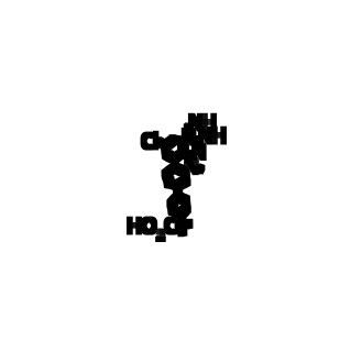 CN(c1cccc(-c2ccc(C(C)(C)C(=O)O)cc2)c1)c1nc(=N)n(C=N)c2cc(Cl)ccc12